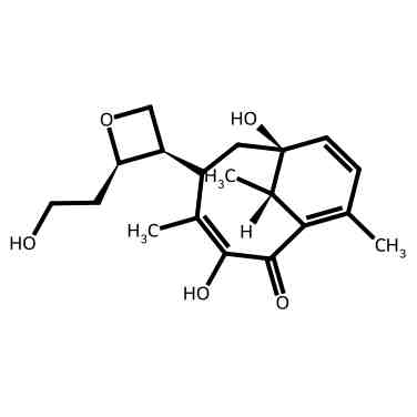 CC1=C2C(=O)/C(O)=C(/C)C([C@@H]3CO[C@@H]3CCO)C[C@](O)(C=C1)[C@H]2C